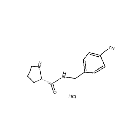 Cl.N#Cc1ccc(CNC(=O)[C@@H]2CCCN2)cc1